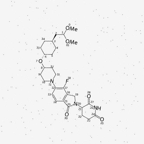 COC(C[C@H]1CC[C@H](OC2CCN(c3ccc4c(c3F)CN(C3CCC(=O)NC3=O)C4=O)CC2)CC1)OC